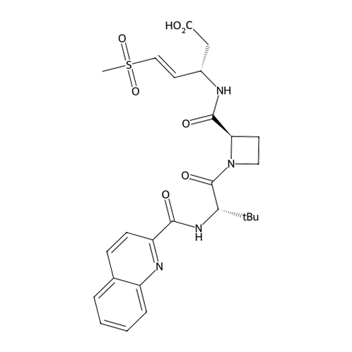 CC(C)(C)[C@H](NC(=O)c1ccc2ccccc2n1)C(=O)N1CC[C@@H]1C(=O)N[C@H](/C=C/S(C)(=O)=O)CC(=O)O